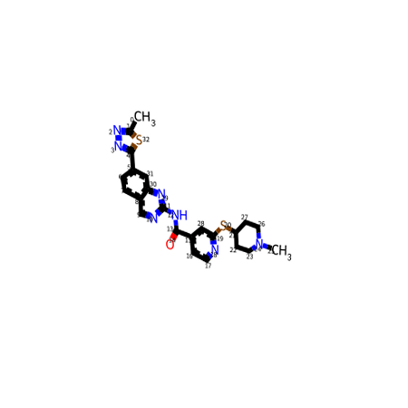 Cc1nnc(-c2ccc3cnc(NC(=O)c4ccnc(SC5CCN(C)CC5)c4)nc3c2)s1